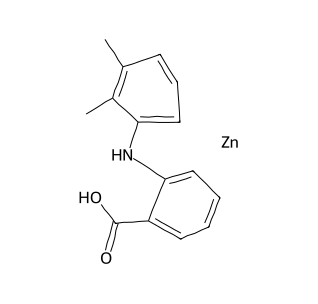 Cc1cccc(Nc2ccccc2C(=O)O)c1C.[Zn]